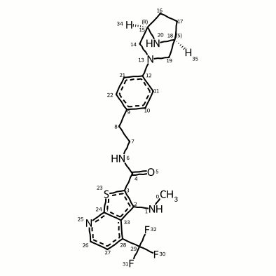 CNc1c(C(=O)NCCc2ccc(N3C[C@H]4CC[C@@H](C3)N4)cc2)sc2nccc(C(F)(F)F)c12